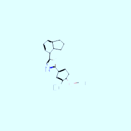 CCC1=CC(c2ncc(C3C=CC=C4CCCC43)s2)=CCC1OC(C)C